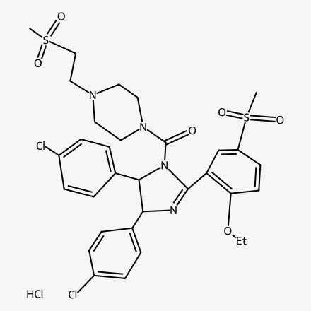 CCOc1ccc(S(C)(=O)=O)cc1C1=NC(c2ccc(Cl)cc2)C(c2ccc(Cl)cc2)N1C(=O)N1CCN(CCS(C)(=O)=O)CC1.Cl